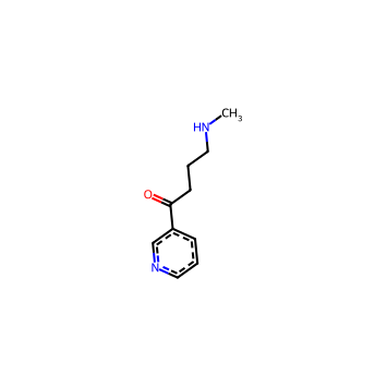 CNCCCC(=O)c1cccnc1